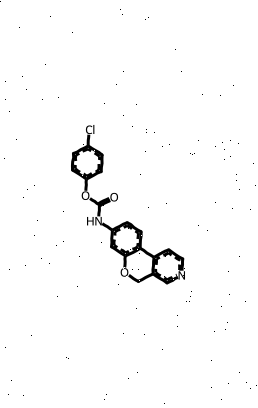 O=C(Nc1ccc2c(c1)OCc1cnccc1-2)Oc1ccc(Cl)cc1